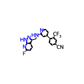 N#Cc1ccc(-c2ccnc(NCc3n[nH]c4nc(F)ccc34)c2)c(C(F)(F)F)c1